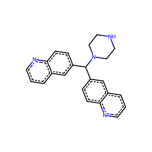 c1cnc2ccc(C(c3ccc4ncccc4c3)N3CCNCC3)cc2c1